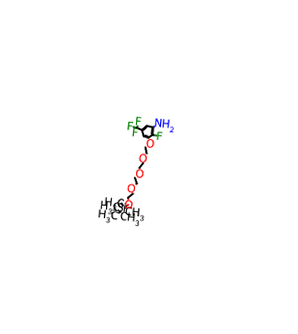 CC(C)(C)[Si](C)(C)OCCOCCOCCOCCOc1cc(C(F)(F)F)cc(N)c1F